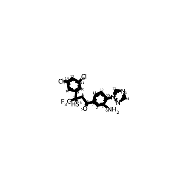 Nc1cc(C(=O)CC(S)(c2cc(Cl)cc(Cl)c2)C(F)(F)F)ccc1-n1cncn1